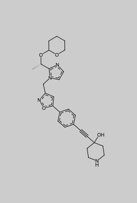 C[C@H](OC1CCCCO1)c1nccn1Cc1cc(-c2ccc(C#CC3(O)CCNCC3)cc2)on1